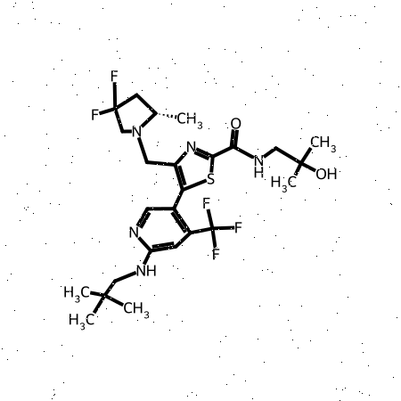 C[C@H]1CC(F)(F)CN1Cc1nc(C(=O)NCC(C)(C)O)sc1-c1cnc(NCC(C)(C)C)cc1C(F)(F)F